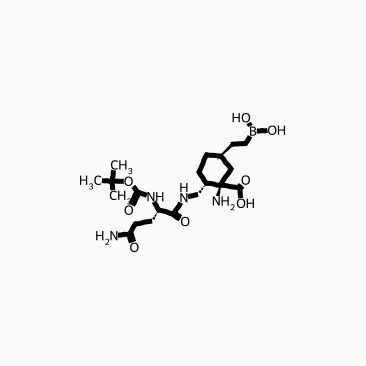 CC(C)(C)OC(=O)N[C@@H](CCC(N)=O)C(=O)NC[C@@H]1CC[C@@H](CCB(O)O)C[C@]1(N)C(=O)O